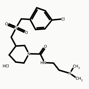 CN(C)CCNC(=O)N1CCCC(CS(=O)(=O)Cc2ccc(Cl)cc2)C1.Cl